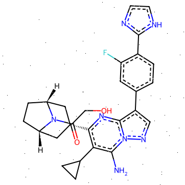 Nc1c(C2CC2)c([C@H]2C[C@H]3CC[C@@H](C2)N3C(=O)CO)nc2c(-c3ccc(-c4ncc[nH]4)c(F)c3)cnn12